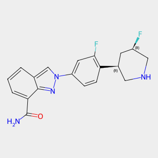 NC(=O)c1cccc2cn(-c3ccc([C@@H]4CNC[C@H](F)C4)c(F)c3)nc12